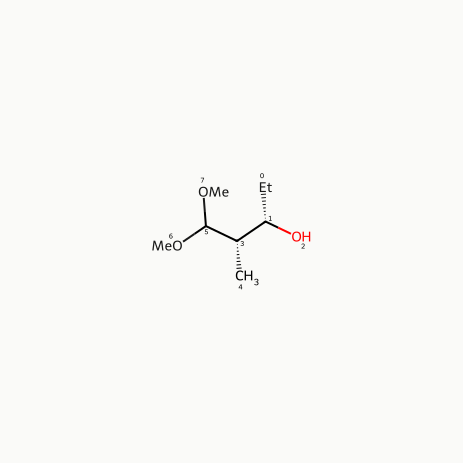 CC[C@H](O)[C@H](C)C(OC)OC